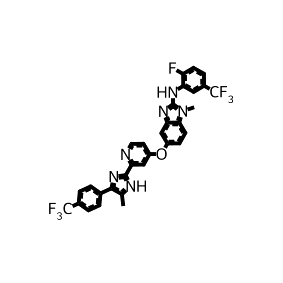 Cc1[nH]c(-c2cc(Oc3ccc4c(c3)nc(Nc3cc(C(F)(F)F)ccc3F)n4C)ccn2)nc1-c1ccc(C(F)(F)F)cc1